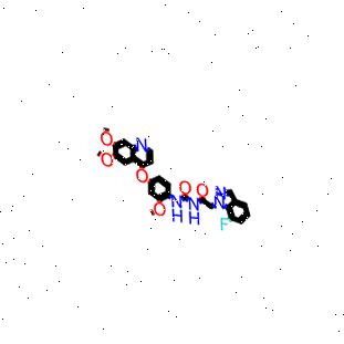 COc1cc(Oc2ccnc3cc(OC)c(OC)cc23)ccc1NC(=O)NC(=O)Cn1ncc2cccc(F)c21